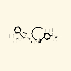 COC(=O)Nc1ccc2c(c1)NC(=O)CCCC[C@@H](C(=O)N1CC[C@@]3(C1)OC(=O)Nc1ccc(Cl)cc13)c1nc-2c(Cl)[nH]1